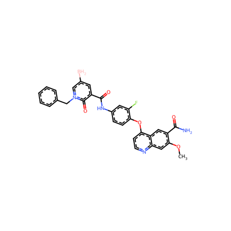 Bc1cc(C(=O)Nc2ccc(Oc3ccnc4cc(OC)c(C(N)=O)cc34)c(F)c2)c(=O)n(Cc2ccccc2)c1